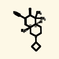 CC1(C)C(=O)C(C#N)=C[C@@]2(C)CN(C3CCC3)CC[C@H]12